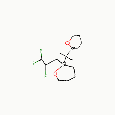 CC(C)([SiH]1CCCCO1)[Si]1(CC(F)C(F)F)CCCCO1